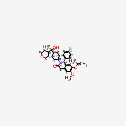 COc1cc2c(cc1OC(C)C)[C@H](c1ccc(Cl)cc1)N(C1CCC([C@](C)(O)C3CCOCC3)CC1)C(=O)C2